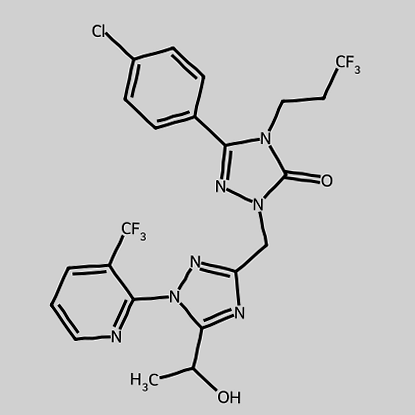 CC(O)c1nc(Cn2nc(-c3ccc(Cl)cc3)n(CCC(F)(F)F)c2=O)nn1-c1ncccc1C(F)(F)F